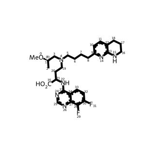 CO[C@H](C)CN(CCCCc1ccc2c(n1)NCCC2)CCC(Nc1ncnc2c(F)c(F)ccc12)C(=O)O